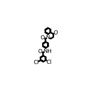 O=C(Nc1ccc(C(=O)N2CCC(=O)c3ccccc32)cc1)c1cc(Cl)cc(Cl)c1